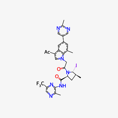 CC(=O)c1cn(CC(=O)N2[C@H](I)[C@@H](C)C[C@H]2C(=O)Nc2nc(C(F)(F)F)cnc2C)c2c(C)cc(-c3cnc(C)nc3)cc12